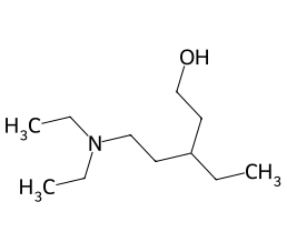 CCC(CCO)CCN(CC)CC